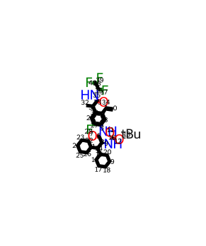 C=Cc1cc(NC(=O)[C@@H](NC(=O)OC(C)(C)C)C(C2CCCCC2)C2CCCCC2)c(F)cc1C(C)C(=O)NC(F)C(F)F